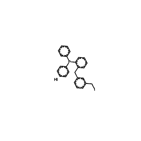 I.ICc1cccc(Cc2ccccc2P(c2ccccc2)c2ccccc2)c1